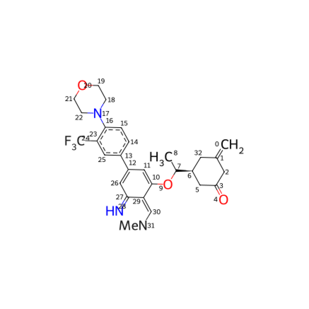 C=C1CC(=O)C[C@@H](C(C)OC2=CC(c3ccc(N4CCOCC4)c(C(F)(F)F)c3)=CC(=N)/C2=C\NC)C1